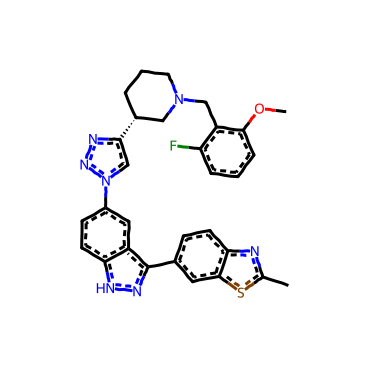 COc1cccc(F)c1CN1CCC[C@@H](c2cn(-c3ccc4[nH]nc(-c5ccc6nc(C)sc6c5)c4c3)nn2)C1